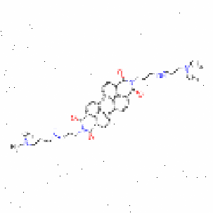 CN(C)CCCNCCCN1C(=O)c2ccc3c4ccc5c6c(ccc(c7ccc(c2c37)C1=O)c64)C(=O)N(CCCNCCCN(C)C)C5=O